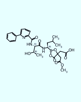 COC(=O)CC1(CC(=O)O)OB([C@H](CC(C)C)NC(=O)[C@@H](NC(=O)c2cccc(-c3ccccc3)n2)[C@@H](C)O)OC1=O